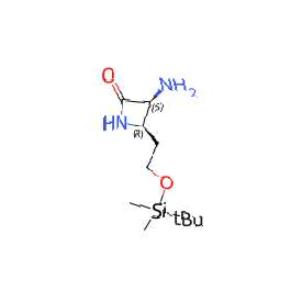 CC(C)(C)[Si](C)(C)OCC[C@H]1NC(=O)[C@H]1N